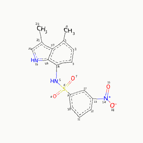 Cc1ccc(NS(=O)(=O)c2cccc([N+](=O)[O-])c2)c2[nH]cc(C)c12